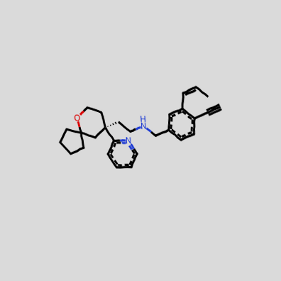 C#Cc1ccc(CNCC[C@@]2(c3ccccn3)CCOC3(CCCC3)C2)cc1/C=C\C